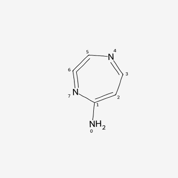 NC1=CC=NC=C=N1